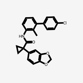 Cc1c(NC(=O)C2(c3ccc4c(c3)OCO4)CC2)cccc1-c1ccc(Cl)cc1